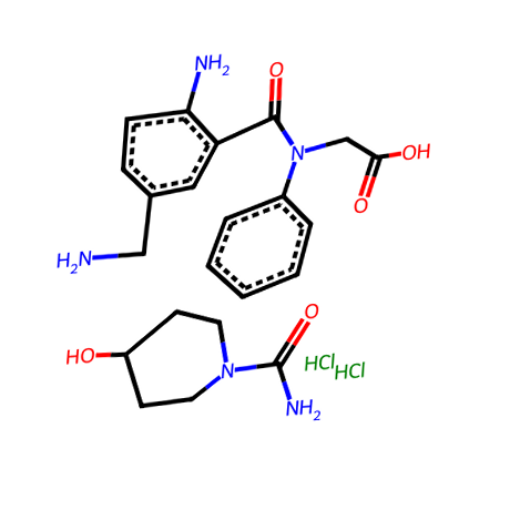 Cl.Cl.NC(=O)N1CCC(O)CC1.NCc1ccc(N)c(C(=O)N(CC(=O)O)c2ccccc2)c1